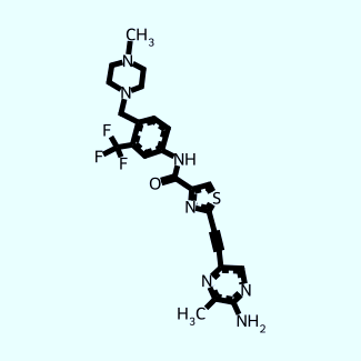 Cc1nc(C#Cc2nc(C(=O)Nc3ccc(CN4CCN(C)CC4)c(C(F)(F)F)c3)cs2)cnc1N